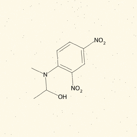 CC(O)N(C)c1ccc([N+](=O)[O-])cc1[N+](=O)[O-]